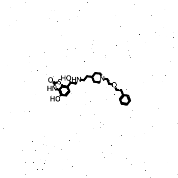 O=c1[nH]c2c(O)ccc([C@@H](O)CNCCC3CCN(CCOCCc4ccccc4)CC3)c2s1